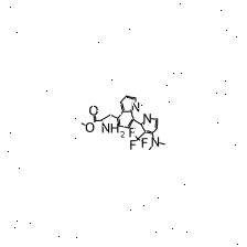 COC(=O)[C@@H](N)Cc1ccc(-c2nccc(N(C)C)c2C(F)(F)F)c2ncccc12